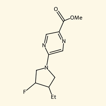 CCC1CN(c2cnc(C(=O)OC)cn2)CC1F